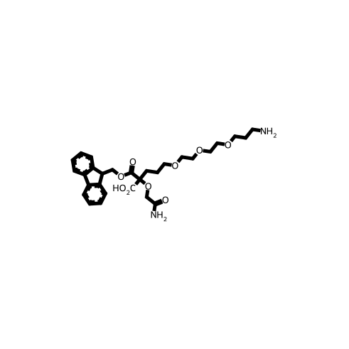 NCCCOCCOCCOCCCC(OCC(N)=O)(C(=O)O)C(=O)OCC1c2ccccc2-c2ccccc21